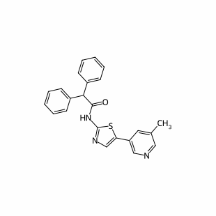 Cc1cncc(-c2cnc(NC(=O)C(c3ccccc3)c3ccccc3)s2)c1